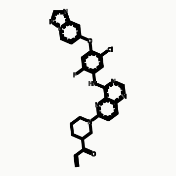 C=CC(=O)C1CCCN(c2ccc3ncnc(Nc4cc(Cl)c(Oc5ccn6ncnc6c5)cc4F)c3n2)C1